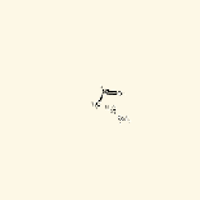 O.O=NO.[CaH2]